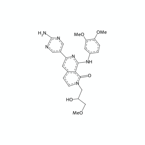 COCC(O)Cn1ccc2cc(-c3cnc(N)nc3)nc(Nc3ccc(OC)c(OC)c3)c2c1=O